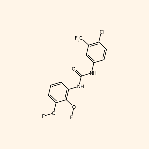 O=C(Nc1ccc(Cl)c(C(F)(F)F)c1)Nc1cccc(OF)c1OF